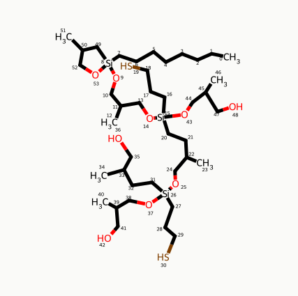 CCCCCCCC[Si]1(OCC(C)CO[Si](CCCS)(CCC(C)CO[Si](CCCS)(CCC(C)CO)OCC(C)CO)OCC(C)CO)CC(C)CO1